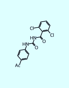 CC(=O)c1ccc(NC(=O)NC(=O)c2c(Cl)cccc2Cl)cc1